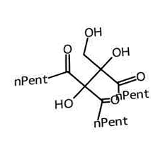 CCCCCC(=O)C(O)(CO)C(O)(C(=O)CCCCC)C(=O)CCCCC